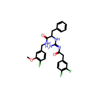 COc1cc(CNC(=O)C(Cc2ccccc2)NC(N)=NC(=O)Cc2ccc(F)c(F)c2)ccc1F